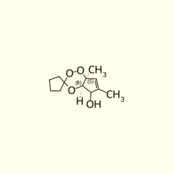 CC1=C[C@]2(C)OOC3(CCCC3)O[C@@H]2C1O